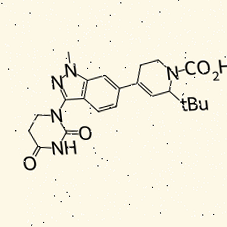 Cn1nc(N2CCC(=O)NC2=O)c2ccc(C3=CC(C(C)(C)C)N(C(=O)O)CC3)cc21